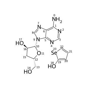 Nc1ncnc2c1ncn2[C@@H]1O[C@H](CO)C[C@H]1O.Oc1ccc[se]1